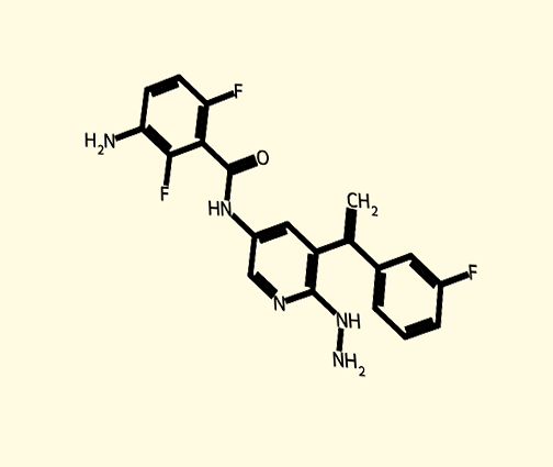 C=C(c1cccc(F)c1)c1cc(NC(=O)c2c(F)ccc(N)c2F)cnc1NN